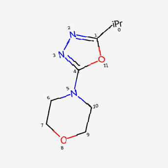 CC(C)c1nnc(N2CCOCC2)o1